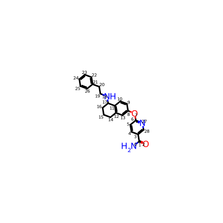 NC(=O)c1ccc(Oc2ccc3c(c2)CCCC3NCCc2ccccc2)nc1